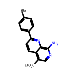 CCOC(=O)c1cnc(N)c2nc(-c3ccc(C(C)CC)cc3)ccc12